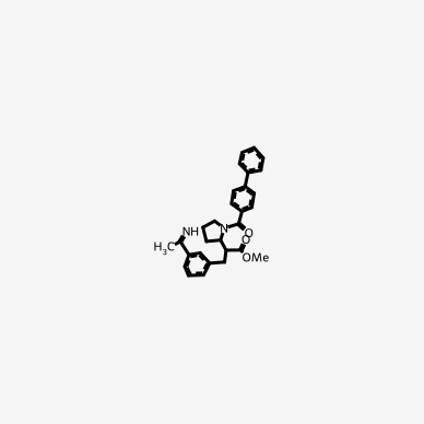 COC(=O)C(Cc1cccc(C(C)=N)c1)C1CCCN1C(=O)c1ccc(-c2ccccc2)cc1